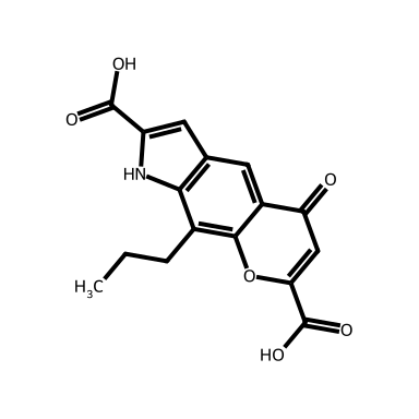 CCCc1c2[nH]c(C(=O)O)cc2cc2c(=O)cc(C(=O)O)oc12